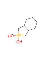 O[PH]1(O)CC2CCCCC2C1